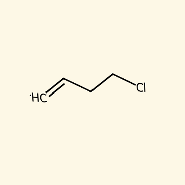 [CH]=CCCCl